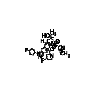 Cn1cc(S(=O)(=O)N(CC(C)(C)O)[C@H]2CCC3=Cc4c(cnn4-c4ccc(F)cc4)C[C@]3(C(=O)c3cc(F)ccn3)C2)cn1